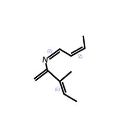 C=C(/N=C\C=C/C)/C(C)=C/C